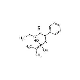 CCOC(=O)C(SP(O)(O)=S(C)C)c1ccccc1